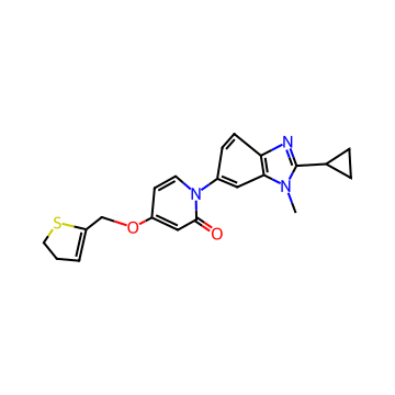 Cn1c(C2CC2)nc2ccc(-n3ccc(OCC4=CCCS4)cc3=O)cc21